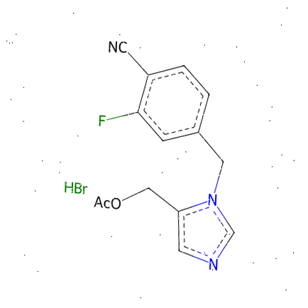 Br.CC(=O)OCc1cncn1Cc1ccc(C#N)c(F)c1